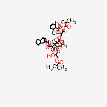 C=C(C)C(=O)OCC(O)COC(=O)C(C)(C(C)C(=O)OC1CC2CC1C1CCCC21)C(C)(C)C(=O)OCC(COC(=O)C(=C)C)OC(=O)C1CC=CCC1C(=O)O